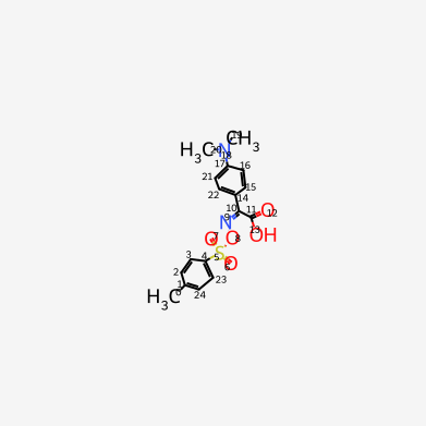 Cc1ccc(S(=O)(=O)ON=C(C(=O)O)c2ccc(N(C)C)cc2)cc1